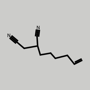 C=CCCCCC(C#N)CC#N